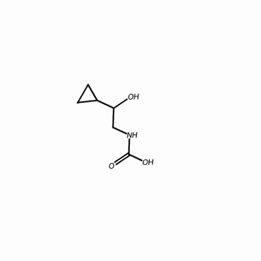 O=C(O)NCC(O)C1CC1